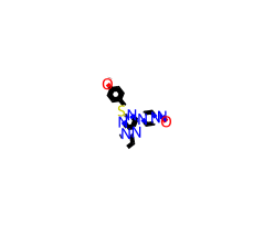 CCc1nc2c(N3CCN(N=O)CC3)nc(SCc3ccc(OC)cc3)nc2n1C